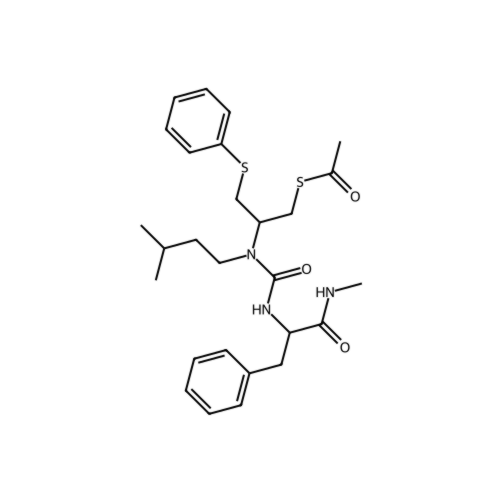 CNC(=O)C(Cc1ccccc1)NC(=O)N(CCC(C)C)C(CSC(C)=O)CSc1ccccc1